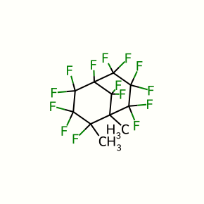 CC1(F)C(F)(F)C(F)(F)C2(F)C(F)(F)C(F)(F)C(F)(F)C1(C)C2(F)F